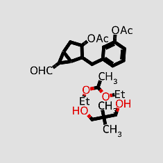 CC(=O)Oc1cccc(CC2C(OC(C)=O)CC3C(C=O)C23)c1.CC(C)(CO)CO.CCOC(C)OCC